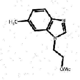 COCCn1cnc2ccc(C)cc21